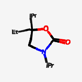 CCC1(C(C)C)CN(C(C)C)C(=O)O1